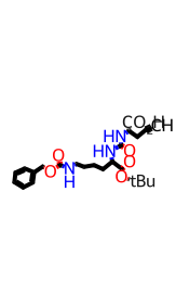 C#CCC(NC(=O)NC(CCCCNC(=O)OCc1ccccc1)C(=O)OC(C)(C)C)C(=O)O